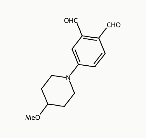 COC1CCN(c2ccc(C=O)c(C=O)c2)CC1